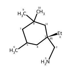 CC[C@@]1(CN)CC(C)CC(C)(C)C1